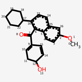 COc1ccc2c(C(=O)C3=CCC(O)C=C3)c(C3CCCCC3)ccc2c1